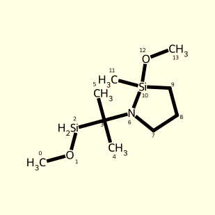 CO[SiH2]C(C)(C)N1CCC[Si]1(C)OC